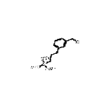 CO[Si](CCCc1cccc(CCl)c1)(OC)OC